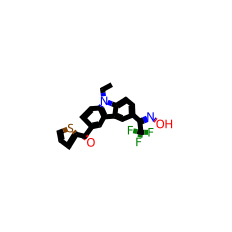 CCn1c2ccc(C(=O)c3cccs3)cc2c2cc(/C(=N/O)C(F)(F)F)ccc21